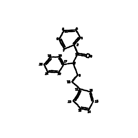 O=C(c1ccccc1)C(CCc1ccccc1)c1ccccc1